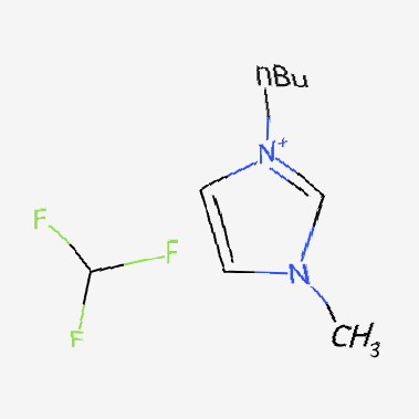 CCCC[n+]1ccn(C)c1.FC(F)F